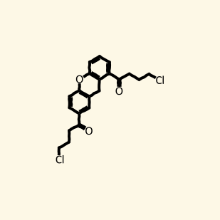 O=C(CCCCl)c1ccc2c(c1)Cc1c(cccc1C(=O)CCCCl)O2